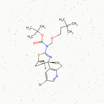 CC(C)(C)OC(=O)N(COCC[Si](C)(C)C)C1=N[C@](C)(c2cc(Br)cnc2F)C2C[C@]2(CF)S1